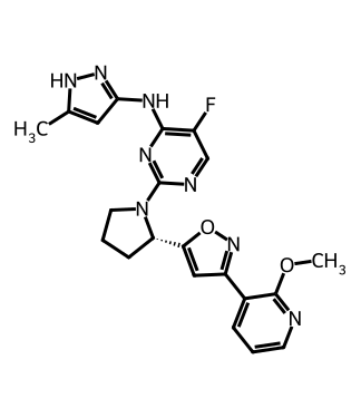 COc1ncccc1-c1cc([C@@H]2CCCN2c2ncc(F)c(Nc3cc(C)[nH]n3)n2)on1